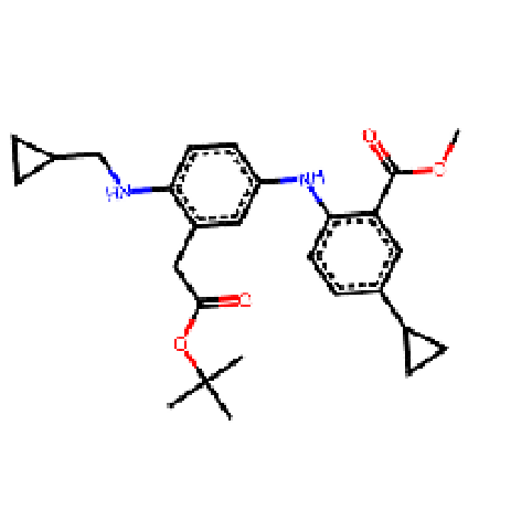 COC(=O)c1cc(C2CC2)ccc1Nc1ccc(NCC2CC2)c(CC(=O)OC(C)(C)C)c1